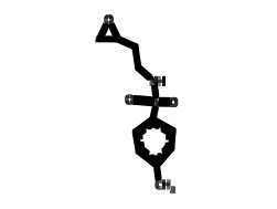 Cc1ccc(S(=O)(=O)NCCC2CO2)cc1